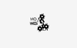 Cl.Cl.N#CC(CCN1CCC(C(=O)O)(c2ccccc2)CC1)(c1ccccc1)c1ccccc1